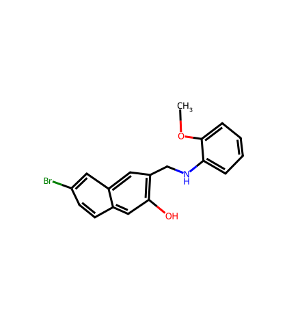 COc1ccccc1NCc1cc2cc(Br)ccc2cc1O